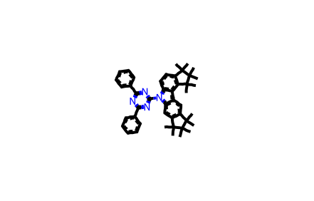 CC1(C)c2cc3c4c5c(ccc4n(-c4nc(-c6ccccc6)nc(-c6ccccc6)n4)c3cc2C(C)(C)C1(C)C)C(C)(C)C(C)(C)C5(C)C